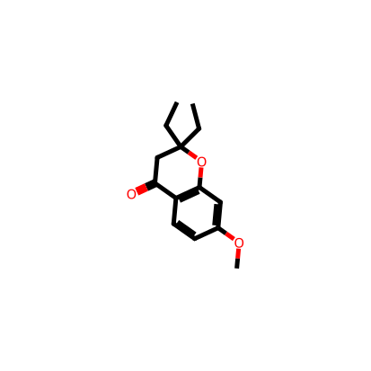 CCC1(CC)CC(=O)c2ccc(OC)cc2O1